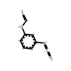 O=C=Nc1cccc(OC=S)c1